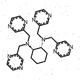 c1cnc(CN(Cc2cnccn2)[C@@H]2CCCC[C@H]2N(Cc2cnccn2)Cc2cnccn2)cn1